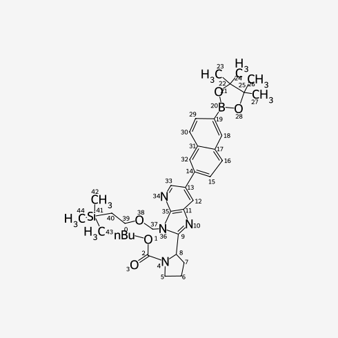 CCCCOC(=O)N1CCCC1c1nc2cc(-c3ccc4cc(B5OC(C)(C)C(C)(C)O5)ccc4c3)cnc2n1COCC[Si](C)(C)C